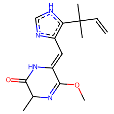 C=CC(C)(C)c1[nH]cnc1/C=C1\NC(=O)C(C)N=C1OC